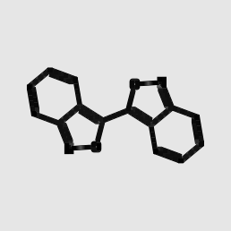 c1ccc2c(-c3onc4ccccc34)onc2c1